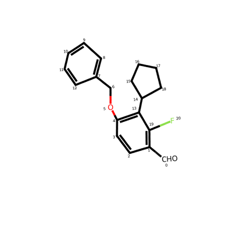 O=Cc1ccc(OCc2ccccc2)c(C2CCCC2)c1F